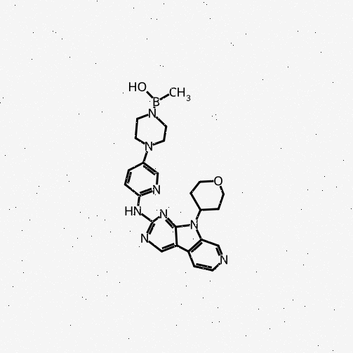 CB(O)N1CCN(c2ccc(Nc3ncc4c5ccncc5n(C5CCOCC5)c4n3)nc2)CC1